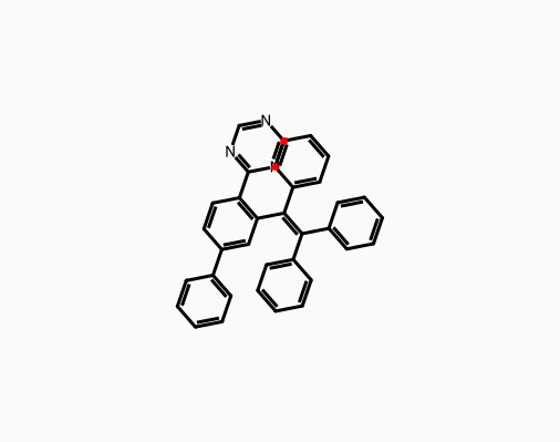 c1ccc(C(=C(c2ccccc2)c2cc(-c3ccccc3)ccc2-c2ncncn2)c2ccccc2)cc1